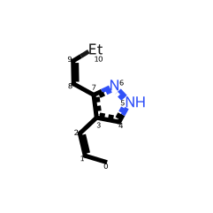 C/C=C\c1c[nH]nc1/C=C\CC